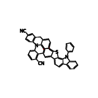 N#Cc1ccc2c(c1)Cc1ccccc1N2c1cccc(C#N)c1-c1ccc2sc3c(ccc4c5ccccc5n(-c5ccccc5)c43)c2c1